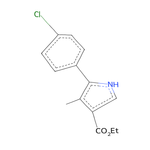 CCOC(=O)c1c[nH]c(-c2ccc(Cl)cc2)c1C